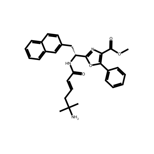 COC(=O)c1nc([C@@H](Cc2ccc3ccccc3c2)NC(=O)/C=C/CC(C)(C)N)oc1-c1ccccc1